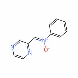 [O-][N+](=Cc1cnccn1)c1ccccc1